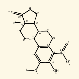 COc1cc2c(c([N+](=O)[O-])c1O)CCC1C2CC[C@]2(C)C(=O)CCC12